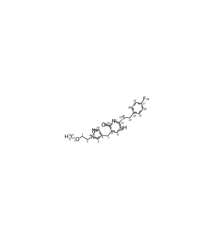 COCCn1cc(Cc2c[nH]c(SCc3ccc(F)cc3)nc2=O)cn1